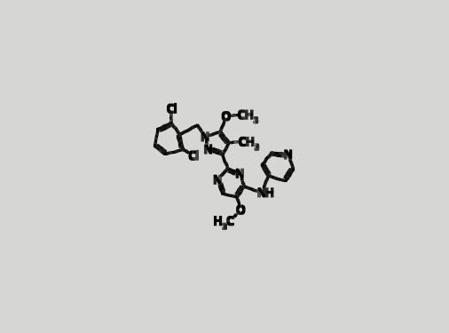 COc1cnc(-c2nn(Cc3c(Cl)cccc3Cl)c(OC)c2C)nc1Nc1ccncc1